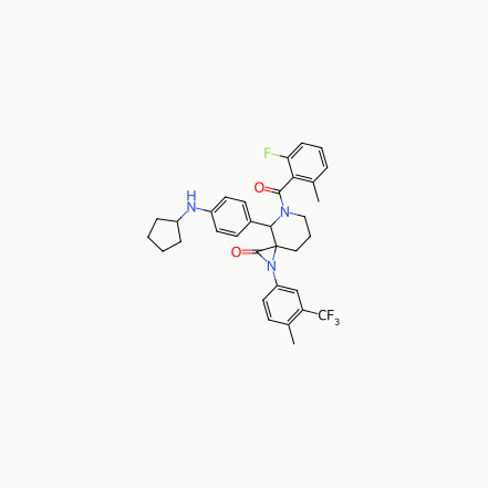 Cc1ccc(N2C(=O)C23CCCN(C(=O)c2c(C)cccc2F)C3c2ccc(NC3CCCC3)cc2)cc1C(F)(F)F